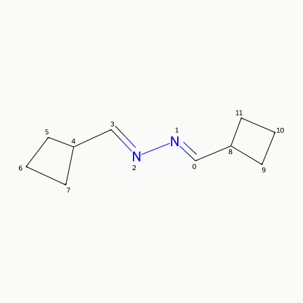 C(=N\N=C\C1CCC1)/C1CCC1